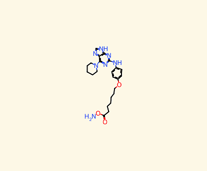 NOC(=O)CCCCCCOc1ccc(Nc2nc(N3CCCCC3)c3nc[nH]c3n2)cc1